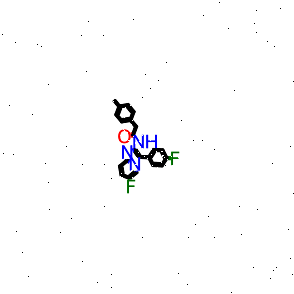 Cc1ccc(CC(=O)Nc2nc3ccc(F)cn3c2-c2ccc(F)cc2)cc1